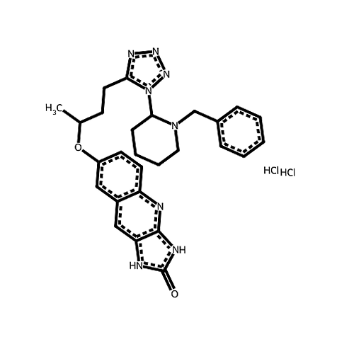 CC(CCc1nnnn1C1CCCCN1Cc1ccccc1)Oc1ccc2nc3[nH]c(=O)[nH]c3cc2c1.Cl.Cl